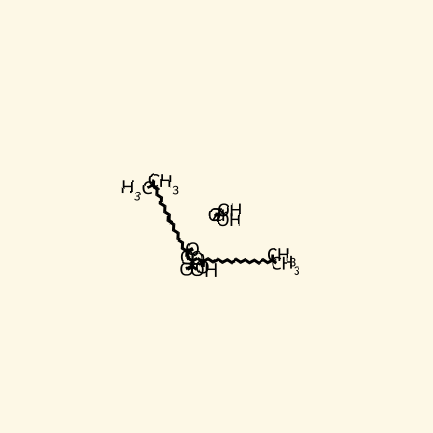 CC(C)CCCCCCCCCCCCCCC(=O)OC(OC(=O)CCCCCCCCCCCCCCC(C)C)C(=O)O.[O]=[Zr]([OH])[OH]